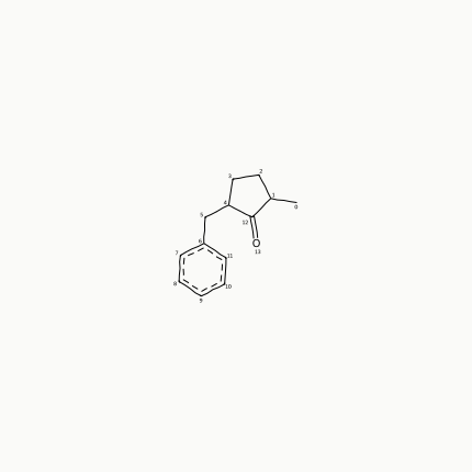 CC1CCC(Cc2ccccc2)C1=O